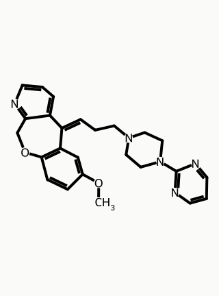 COc1ccc2c(c1)C(=CCCN1CCN(c3ncccn3)CC1)c1cccnc1CO2